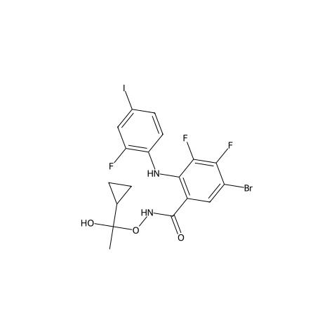 CC(O)(ONC(=O)c1cc(Br)c(F)c(F)c1Nc1ccc(I)cc1F)C1CC1